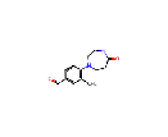 Cc1cc(C=O)ccc1N1CCNC(=O)CC1